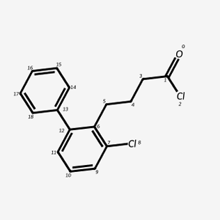 O=C(Cl)CCCc1c(Cl)cccc1-c1ccccc1